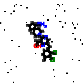 Cc1ccc(Cc2cnc(N3CCC4(CCC[C@H]4N)CC3)c(CO)n2)c(Cl)c1Cl